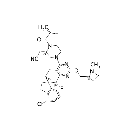 C=C(F)C(=O)N1CCN(c2nc(OC[C@@H]3CCN3C)nc3c2CC[C@@]2(CCc4c(Cl)cccc42)[C@H]3F)C[C@@H]1CC#N